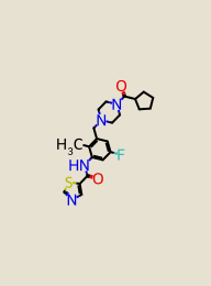 Cc1c(CN2CCN(C(=O)C3CCCC3)CC2)cc(F)cc1NC(=O)c1cncs1